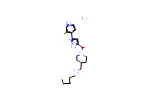 COc1cc(-c2cc(C(=O)N3CCC(C(=O)NCC4CCCO4)CC3)n[nH]2)c(Cl)cn1